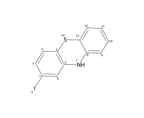 Ic1ccc2c(c1)Nc1c[c]ccc1S2